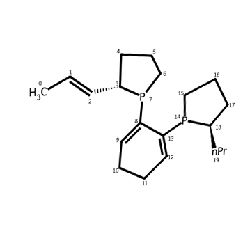 C/C=C/[C@@H]1CCCP1C1=CCCC=C1P1CCC[C@H]1CCC